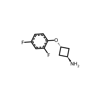 N[C@H]1C[C@H](Oc2ccc(F)cc2F)C1